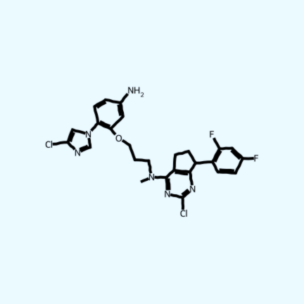 CN(CCCOc1cc(N)ccc1-n1cnc(Cl)c1)c1nc(Cl)nc2c1CCC2c1ccc(F)cc1F